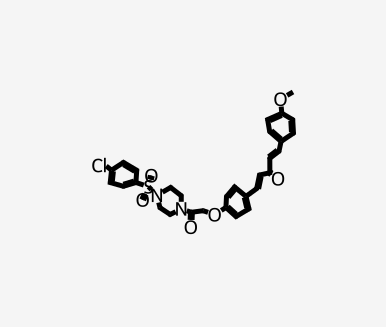 COc1ccc(C=CC(=O)C=Cc2ccc(OCC(=O)N3CCN(S(=O)(=O)c4ccc(Cl)cc4)CC3)cc2)cc1